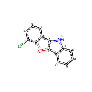 Clc1cccc2c1oc1c3ccccc3[nH]c21